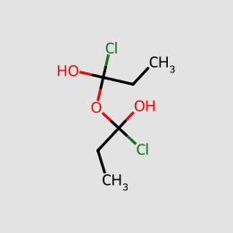 CCC(O)(Cl)OC(O)(Cl)CC